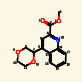 COC(=O)c1cc(C2COCCO2)c2ccccc2n1